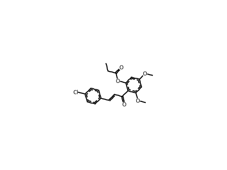 CCC(=O)Oc1cc(OC)cc(OC)c1C(=O)/C=C/c1ccc(Cl)cc1